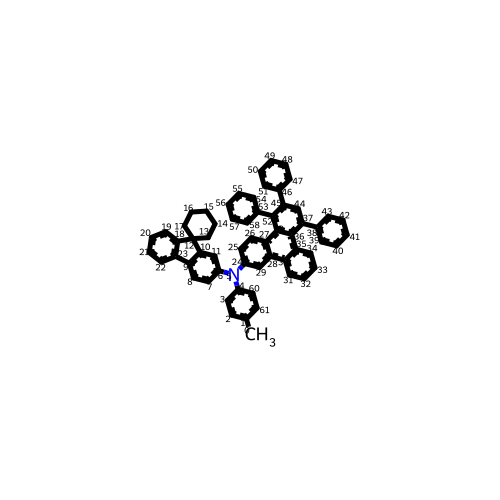 Cc1ccc(N(c2ccc3c(c2)C2(CCCCC2)c2ccccc2-3)c2ccc3c(c2)c2ccccc2c2c(-c4ccccc4)cc(-c4ccccc4)c(-c4ccccc4)c32)cc1